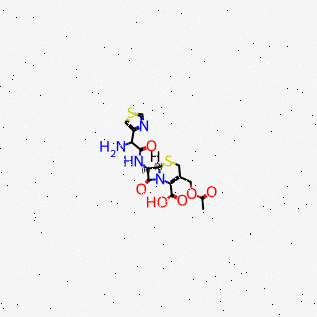 CC(=O)OCC1=C(C(=O)O)N2C(=O)[C@@H](NC(=O)C(N)c3cscn3)[C@H]2SC1